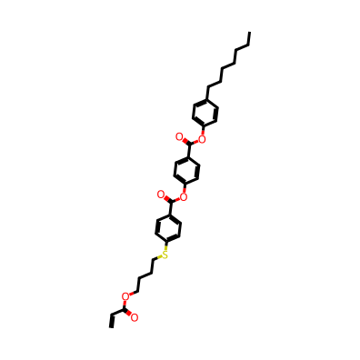 C=CC(=O)OCCCCSc1ccc(C(=O)Oc2ccc(C(=O)Oc3ccc(CCCCCCC)cc3)cc2)cc1